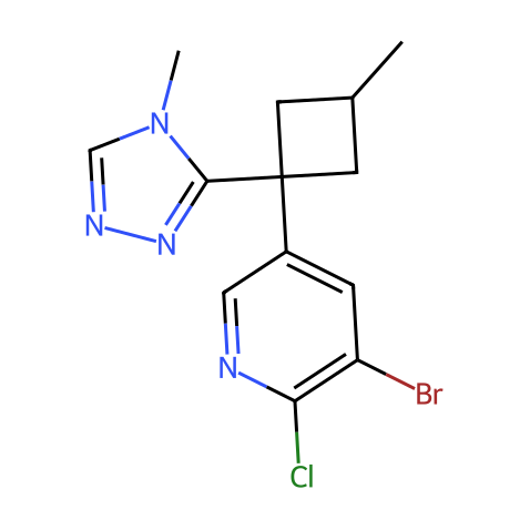 CC1CC(c2cnc(Cl)c(Br)c2)(c2nncn2C)C1